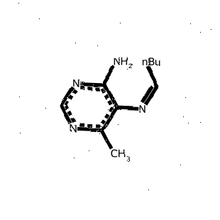 CCCC/C=N\c1c(C)ncnc1N